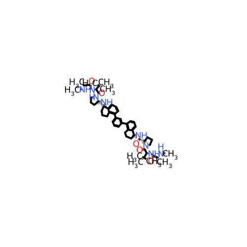 CNC(C)C(=O)NC(C(=O)N1CCC[C@H]1N[C@@H]1CCCc2c(-c3cccc(-c4cccc5c4CCC[C@H]5NC(=O)[C@@H]4CCCN4C(=O)C(NC(=O)C(C)NC)C(C)(C)C)c3)cccc21)C(C)(C)C